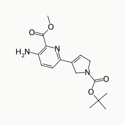 COC(=O)c1nc(C2=CCN(C(=O)OC(C)(C)C)C2)ccc1N